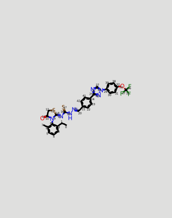 CCc1cccc(C)c1N1C(=O)CS/C1=N\C(=S)N/N=C/c1ccc(-c2ncn(-c3ccc(OC(F)(F)F)cc3)n2)cc1